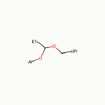 CCCCOC(CC)[O][Al]